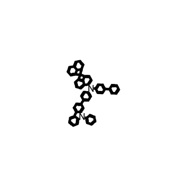 C1=CC2=CC=CC3C2C(=C1)C31c2cccc3c(N(c4ccc(-c5ccccc5)cc4)c4ccc(-c5ccc6c7ccccc7n(-c7ccccc7)c6c5)cc4)ccc1c23